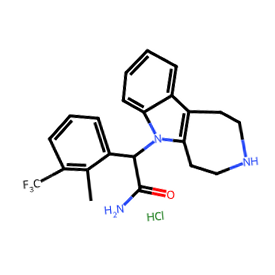 Cc1c(C(C(N)=O)n2c3c(c4ccccc42)CCNCC3)cccc1C(F)(F)F.Cl